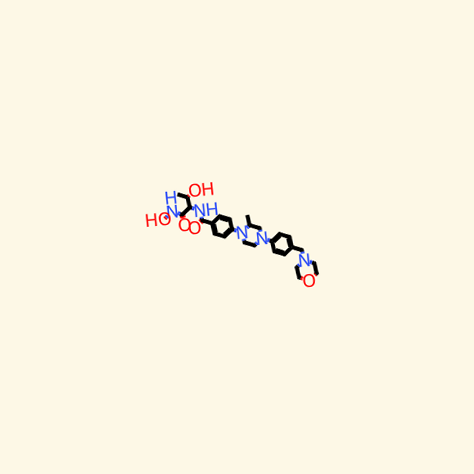 CC(O)C(NC(=O)c1ccc(N2CCN(c3ccc(CN4CCOCC4)cc3)CC2C)cc1)C(=O)NO